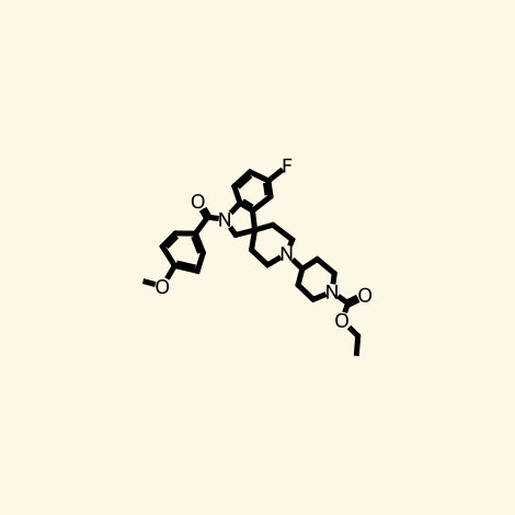 CCOC(=O)N1CCC(N2CCC3(CC2)CN(C(=O)c2ccc(OC)cc2)c2ccc(F)cc23)CC1